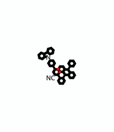 N#Cc1cc(-c2ccc(-n3c4ccccc4c4ccccc43)cc2)ccc1-c1ccccc1-c1c2ccccc2c(-c2ccccc2)c2ccccc12